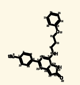 CC(C)(C)c1ccc(-c2nc(NCCCOc3ccccc3)n3[nH]c(=O)cc3n2)cc1